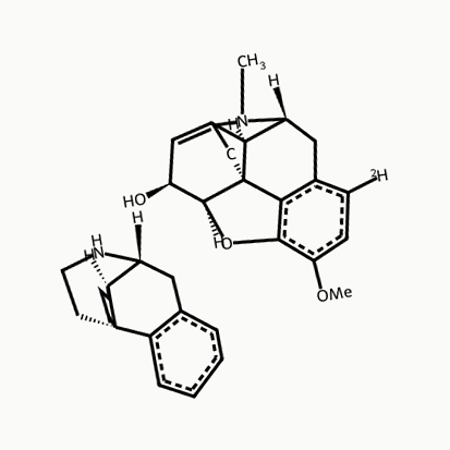 [2H]c1cc(OC)c2c3c1C[C@@H]1[C@@H]4C=C[C@H](O)[C@H](O2)[C@]34CCN1C.c1ccc2c(c1)C[C@H]1NCC[C@@]23CCCC[C@@H]13